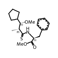 COC(=O)[C@H](Cc1ccccc1)NC(=S)[C@H](C)[C@@H](OC)C1CCCC1